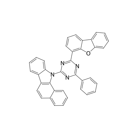 c1ccc(-c2nc(-c3cccc4c3oc3ccccc34)nc(-n3c4ccccc4c4ccc5ccccc5c43)n2)cc1